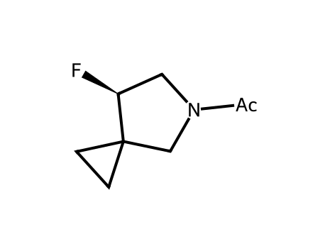 CC(=O)N1C[C@H](F)C2(CC2)C1